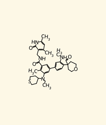 CCN(c1cc(-c2ccc(C3(C=O)CCOCC3)c(NC)c2)cc(C(=O)NCc2c(C)cc(C)[nH]c2=O)c1C)C1CCSCC1